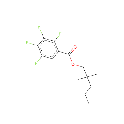 CCCC(C)(C)COC(=O)c1cc(F)c(F)c(F)c1F